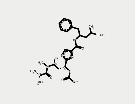 CCCC(=O)O[C@H](C[C@H](C(C)C)N(C)C(=O)[C@@H](N)[C@@H](C)CC)c1nc(C(=O)NC(Cc2ccccc2)CC(C)C(=O)O)cs1